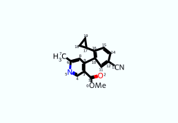 COC(=O)c1cnc(C)cc1-c1cc(C#N)ccc1C1CC1